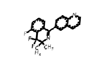 CC1(C)N=C(c2ccc3ncccc3c2)c2cccc(F)c2C1(F)F